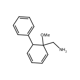 COC1(CN)C=CC=CC1c1ccccc1